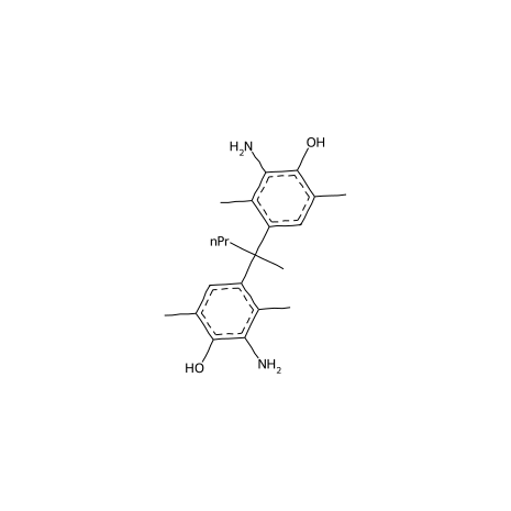 CCCC(C)(c1cc(C)c(O)c(N)c1C)c1cc(C)c(O)c(N)c1C